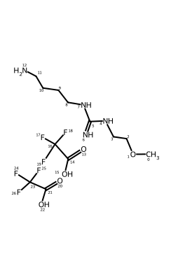 COCCNC(=N)NCCCCN.O=C(O)C(F)(F)F.O=C(O)C(F)(F)F